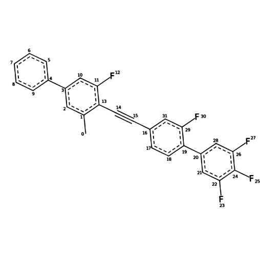 Cc1cc(-c2ccccc2)cc(F)c1C#Cc1ccc(-c2cc(F)c(F)c(F)c2)c(F)c1